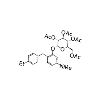 CCc1ccc(Cc2ccc(NC)cc2O[C@H]2O[C@H](COC(C)=O)[C@@H](OC(C)=O)[C@H](OC(C)=O)[C@H]2OC(C)=O)cc1